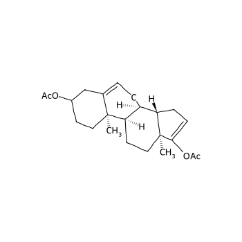 CC(=O)OC1=CC[C@H]2[C@@H]3CC=C4CC(OC(C)=O)CC[C@]4(C)[C@@H]3CC[C@]12C